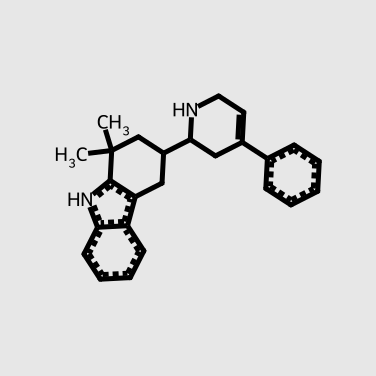 CC1(C)CC(C2CC(c3ccccc3)=CCN2)Cc2c1[nH]c1ccccc21